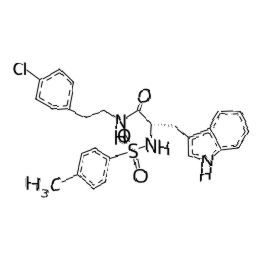 Cc1ccc(S(=O)(=O)N[C@@H](Cc2c[nH]c3ccccc23)C(=O)NCCc2ccc(Cl)cc2)cc1